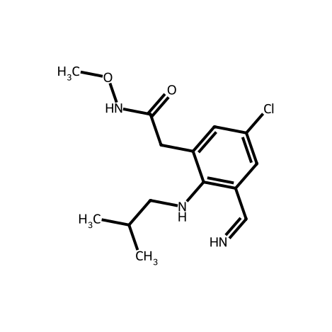 CONC(=O)Cc1cc(Cl)cc(C=N)c1NCC(C)C